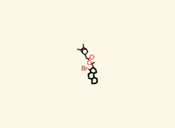 CC(OC(=O)CC1CC2CC1C(C)C2C)c1ccc2c(ccc3ccccc32)c1Br